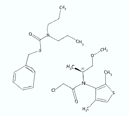 CCCN(CCC)C(=O)SCc1ccccc1.COC[C@H](C)N(C(=O)CCl)c1c(C)csc1C